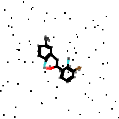 OC(Cc1cc(C(F)(F)F)ccc1F)c1cccc(Br)c1F